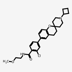 COCCNC(=O)c1ccc(-c2ccc3c(c2)CCC2(CCN(C4CCC4)CC2)O3)cc1Cl